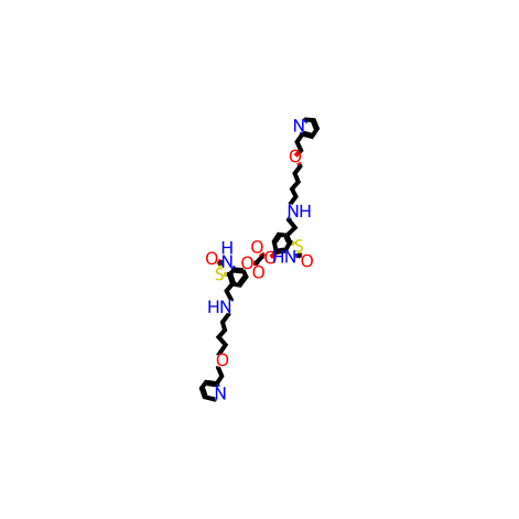 O=C(Oc1ccc(CCNCCCCCCOCCc2ccccn2)c2sc(=O)[nH]c12)C(=O)Oc1ccc(CCNCCCCCCOCCc2ccccn2)c2sc(=O)[nH]c12